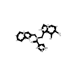 O=C(c1c[nH]nn1)N(Cc1cn2ccccc2n1)Cc1ncn2ccc(Cl)c(F)c12